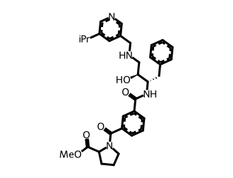 COC(=O)C1CCCN1C(=O)c1cccc(C(=O)N[C@@H](Cc2ccccc2)[C@@H](O)CNCc2cncc(C(C)C)c2)c1